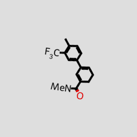 CNC(=O)C1=CC(c2ccc(C)c(C(F)(F)F)c2)=CCC1